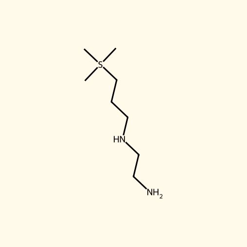 CS(C)(C)CCCNCCN